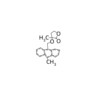 Cc1c2ccccc2c(COC2(C)CCOC2=O)c2ccccc12